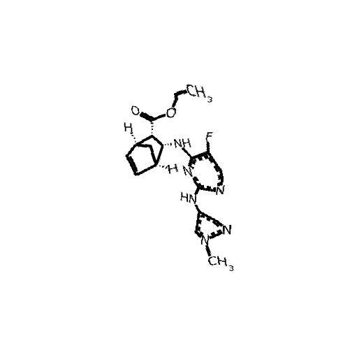 CCOC(=O)[C@@H]1[C@H](Nc2nc(Nc3cnn(C)c3)ncc2F)[C@H]2C=C[C@@H]1C2